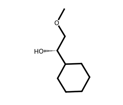 COC[C@@H](O)C1CCCCC1